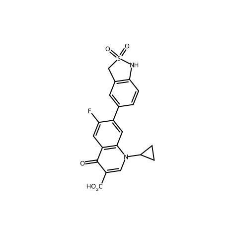 O=C(O)c1cn(C2CC2)c2cc(-c3ccc4c(c3)CS(=O)(=O)N4)c(F)cc2c1=O